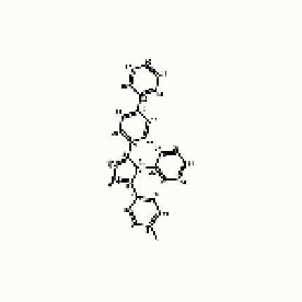 Cc1ccc(-c2nnc(-c3ccc(-c4ccccc4)cc3)n2-c2ccccc2)cc1